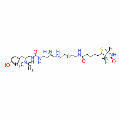 CN(C)[C@H](CNC(=O)NCC/C(N)=C/NCCOCCNC(=O)CCCC[C@H]1SC[C@@H]2NC(=O)N[C@@H]21)Cc1ccc(O)cc1